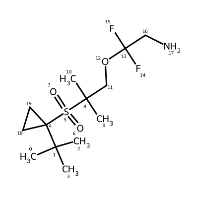 CC(C)(C)C1(S(=O)(=O)C(C)(C)COC(F)(F)CN)CC1